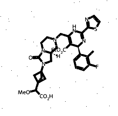 CCOC(=O)C1=C(CN2CCN3C(=O)N(C45CC(C(OC)C(=O)O)(C4)C5)C[C@@H]3C2)NC(c2nccs2)=N[C@H]1c1cccc(F)c1C